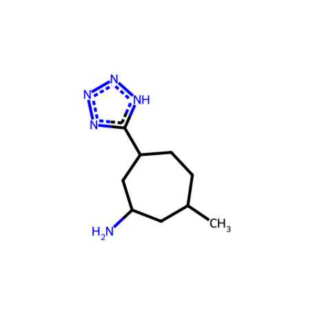 CC1CCC(c2nnn[nH]2)CC(N)C1